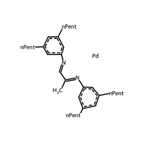 CCCCCc1cc(CCCCC)cc(N=CC(C)=Nc2cc(CCCCC)cc(CCCCC)c2)c1.[Pd]